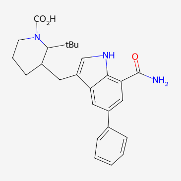 CC(C)(C)C1C(Cc2c[nH]c3c(C(N)=O)cc(-c4ccccc4)cc23)CCCN1C(=O)O